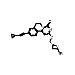 CC(C)C1C[C@H](COc2cc3n(c(=O)n2)CCc2cc(C#CC4CC4)ccc2-3)O1